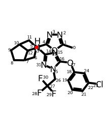 Cc1nnc(N2CC3CCC(C2)C3Nc2nc(Oc3cccc(Cl)c3)n(CC(F)(F)F)n2)o1